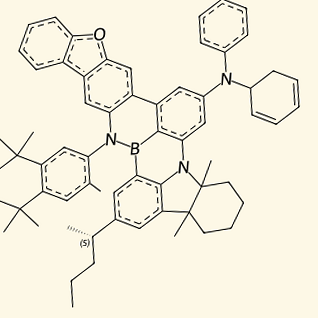 CCC[C@H](C)c1cc2c3c(c1)C1(C)CCCCC1(C)N3c1cc(N(c3ccccc3)C3C=CC=CC3)cc3c1B2N(c1cc2c(cc1C)C(C)(C)CCC2(C)C)c1cc2c(cc1-3)oc1ccccc12